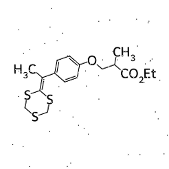 CCOC(=O)C(C)COc1ccc(C(C)=C2SCSCS2)cc1